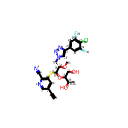 C#Cc1cnc(C#N)c(SC(OC(CO)[C@@H](C)O)[C@H](Cn2cc(-c3cc(F)c(Cl)c(F)c3)nn2)OC)c1